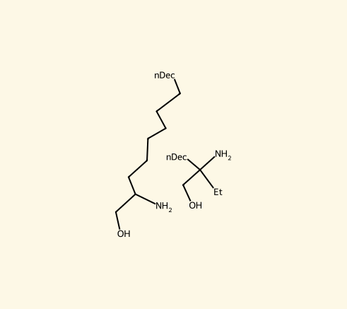 CCCCCCCCCCC(N)(CC)CO.CCCCCCCCCCCCCCCCC(N)CO